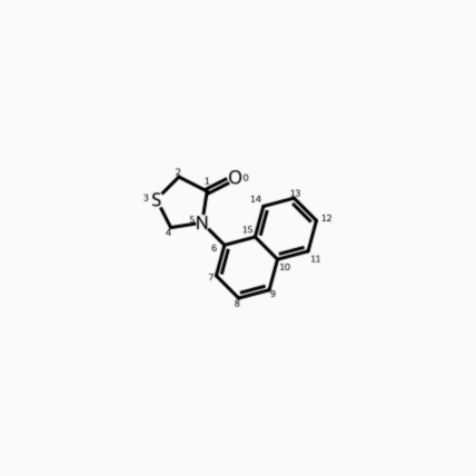 O=C1CSCN1c1cccc2ccccc12